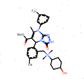 COC(=O)C1=C(C)N(c2cccc(C(F)(F)F)c2)c2n[nH]c(=O)n2C1c1ccc(C#N)cc1C[N+](C)(C)C1CCC(O)CC1